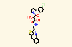 N#Cc1ccccc1Cc1csc(CCNC(=O)[C@H](O)[C@@H](O)C(=O)N2CCC[C@@H]2c2cccc(Cl)c2)c1